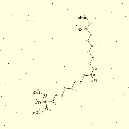 CCCCCCCCCOC(=O)CCCCCCCN(CC)CCCCCCCOP(=O)(OCCCCCCCC)OCCCCCCCC